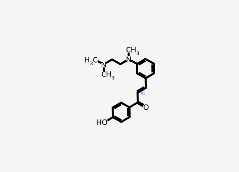 CN(C)CCN(C)c1cccc(/C=C/C(=O)c2ccc(O)cc2)c1